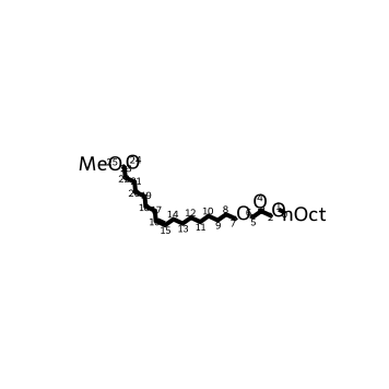 CCCCCCCCOCC(=O)COCCCCCCCC/C=C\CCCCCCC(=O)OC